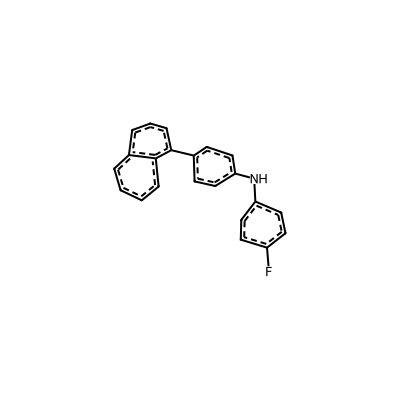 Fc1ccc(Nc2ccc(-c3cccc4ccccc34)cc2)cc1